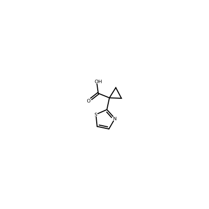 O=C(O)C1(c2nccs2)CC1